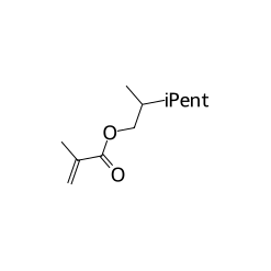 C=C(C)C(=O)OCC(C)C(C)CCC